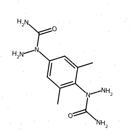 Cc1cc(N(N)C(N)=O)cc(C)c1N(N)C(N)=O